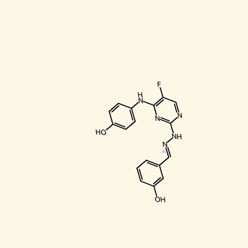 Oc1ccc(Nc2nc(N/N=C/c3cccc(O)c3)ncc2F)cc1